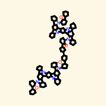 c1ccc2c(c1)oc1c(-n3c4ccccc4c4c5c6cc7c(cc6n6c8ccccc8c(cc43)c56)c3c4c5ccccc5n(-c5cccc6c5oc5cc(-c8ccc9c(c8)oc8c(-n%10c%11ccccc%11c%11cc%12c%13ccccc%13n%13c%14cc%15c%16c%17c(cc%18c%19ccccc%19n(c%15cc%14c(c%11%10)c%12%13)c%18%16)c%10ccccc%10n%17-c%10cccc%11c%10oc%10ccccc%10%11)cccc89)ccc56)c4cc4c5ccccc5n7c43)cccc12